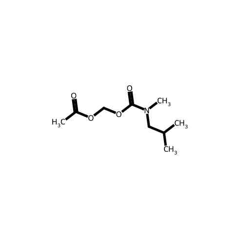 CC(=O)OCOC(=O)N(C)CC(C)C